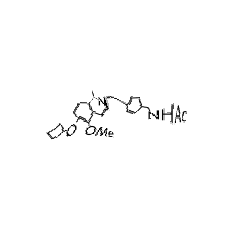 COc1c(OC2CCC2)ccc2c1CCN(Cc1ccc(CNC(C)=O)cc1)C2C